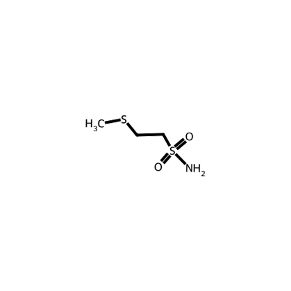 CSCCS(N)(=O)=O